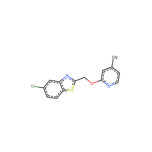 N#Cc1ccnc(OCc2nc3cc(Cl)ccc3s2)c1